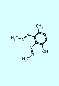 CN=Nc1c(C)ccc(O)c1N=NC